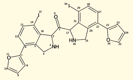 O=C(C1NCc2c(-c3ccco3)ccc(I)c21)C1NCc2c(-c3ccco3)ccc(I)c21